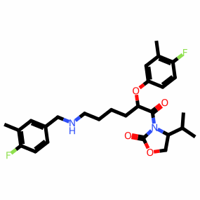 Cc1cc(CNCCCCC(Oc2ccc(F)c(C)c2)C(=O)N2C(=O)OCC2C(C)C)ccc1F